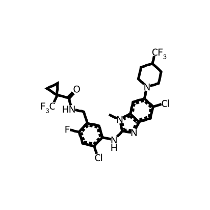 Cn1c(Nc2cc(CNC(=O)C3(C(F)(F)F)CC3)c(F)cc2Cl)nc2cc(Cl)c(N3CCC(C(F)(F)F)CC3)cc21